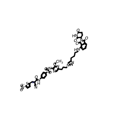 COc1nc(CCCn2cc(CCCCNc3cccc4c3C(=O)N(C3CCC(=O)NC3=O)C4=O)nn2)cnc1NS(=O)(=O)c1ccc(NC(=O)/C(C#N)=C/c2ccc([N+](=O)[O-])s2)cc1